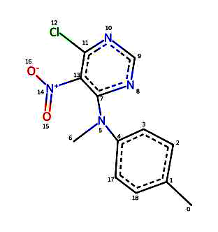 Cc1ccc(N(C)c2ncnc(Cl)c2[N+](=O)[O-])cc1